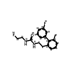 Cc1cccc(CCNC(=O)NCCF)c1-c1cccc(F)c1